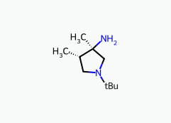 C[C@H]1CN(C(C)(C)C)C[C@]1(C)N